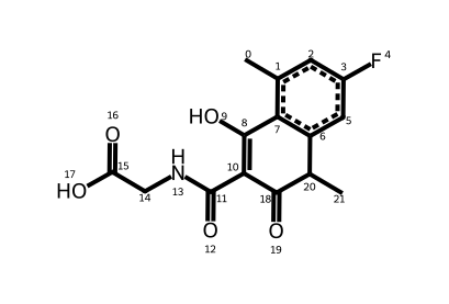 Cc1cc(F)cc2c1C(O)=C(C(=O)NCC(=O)O)C(=O)C2C